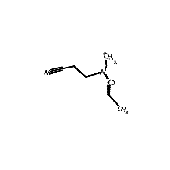 CCON(C)CCC#N